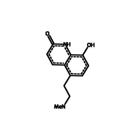 CNCCc1ccc(O)c2[nH]c(=O)ccc12